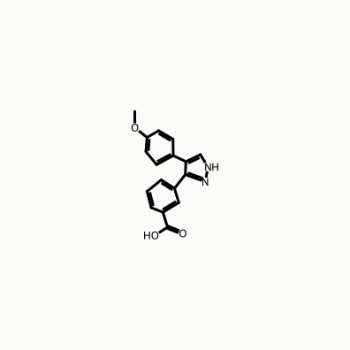 COc1ccc(-c2c[nH]nc2-c2cccc(C(=O)O)c2)cc1